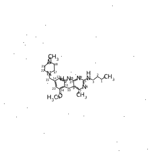 CCCCNc1nc(C)c(Cc2ccc(CN3CCN(C)CC3)cc2OC)c(N)n1